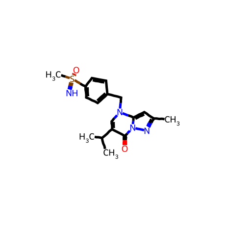 Cc1cc2n(Cc3ccc(S(C)(=N)=O)cc3)cc(C(C)C)c(=O)n2n1